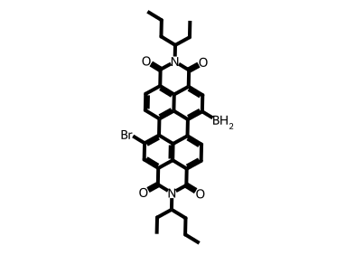 Bc1cc2c3c(ccc4c5c(Br)cc6c7c(ccc(c1c34)c75)C(=O)N(C(CC)CCC)C6=O)C(=O)N(C(CC)CCC)C2=O